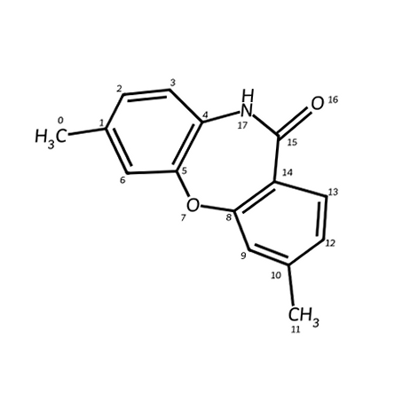 Cc1ccc2c(c1)Oc1cc(C)ccc1C(=O)N2